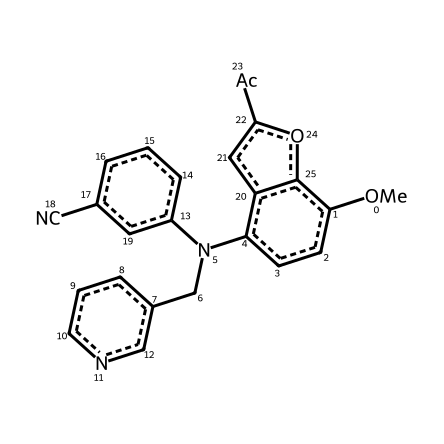 COc1ccc(N(Cc2cccnc2)c2cccc(C#N)c2)c2cc(C(C)=O)oc12